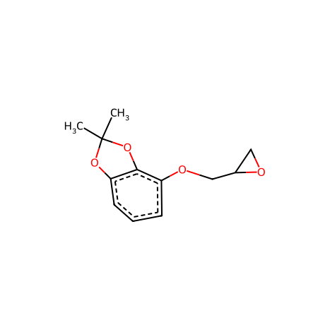 CC1(C)Oc2cccc(OCC3CO3)c2O1